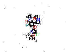 COc1ncccc1-c1cc(C(=O)N2CCCC2)c(F)cc1Oc1cnc(OC(C)C)c(Cl)c1